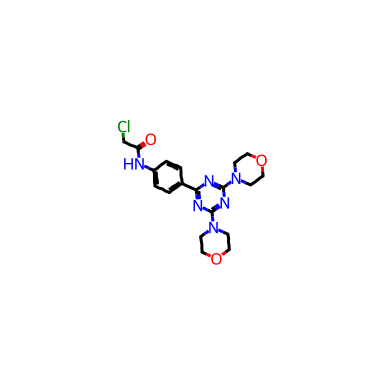 O=C(CCl)Nc1ccc(-c2nc(N3CCOCC3)nc(N3CCOCC3)n2)cc1